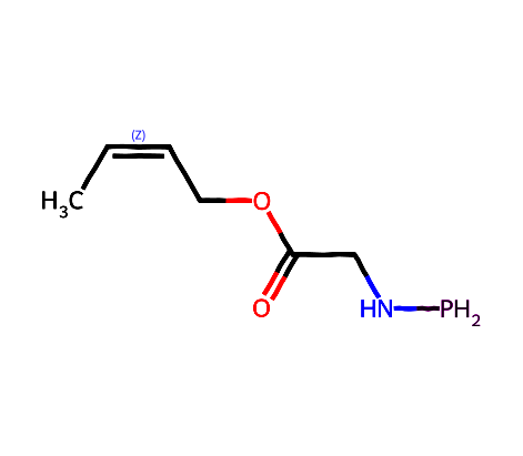 C/C=C\COC(=O)CNP